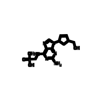 Nc1nc(NCP(=O)(O)O)c2ncn(C3C=CC(CO)C3)c2n1